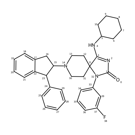 O=C1N=C(NC2CCCCC2)C2(CCN(C3Cc4ccccc4C3c3ccccc3)CC2)N1c1cccc(F)c1